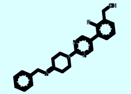 OCc1cccc(-c2cnc(N3CCC(=NCc4ccccc4)CC3)nc2)c1F